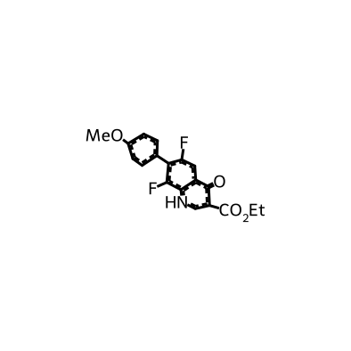 CCOC(=O)c1c[nH]c2c(F)c(-c3ccc(OC)cc3)c(F)cc2c1=O